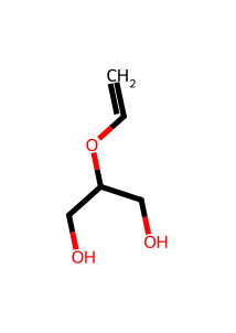 C=COC(CO)CO